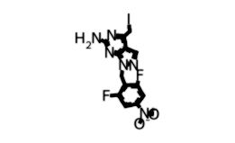 Nc1nc(CI)c2cnn(Cc3c(F)cc([N+](=O)[O-])cc3F)c2n1